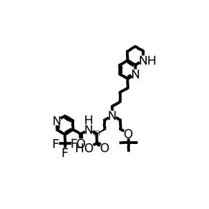 CC(C)(C)OCCN(CCCCc1ccc2c(n1)NCCC2)CC[C@H](NC(=O)c1ccncc1C(F)(F)F)C(=O)O